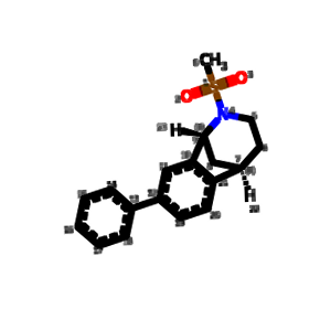 CS(=O)(=O)N1CC[C@@H]2C[C@@H]1c1cc(-c3ccccc3)ccc12